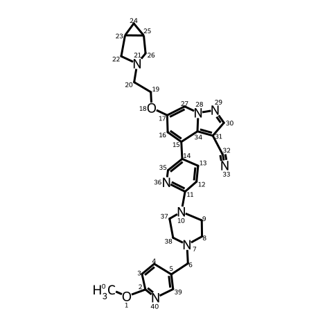 COc1ccc(CN2CCN(c3ccc(-c4cc(OCCN5CC6CC6C5)cn5ncc(C#N)c45)cn3)CC2)cn1